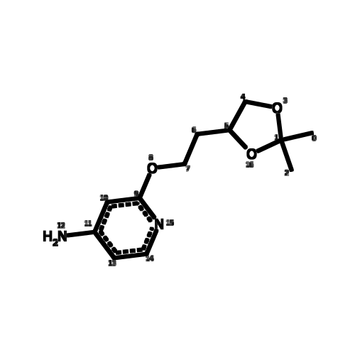 CC1(C)OCC(CCOc2cc(N)ccn2)O1